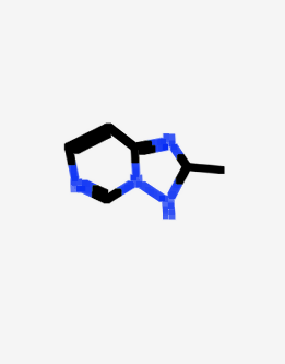 CC1N=C2C=CN=CN2N1